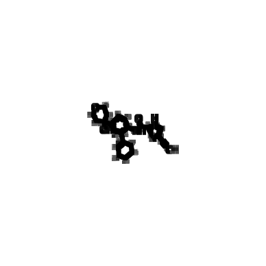 C#Cc1c[nH]c(C(=O)Nc2ccc(C3(O)CCOCC3)cc2C2=CCCCC2)n1